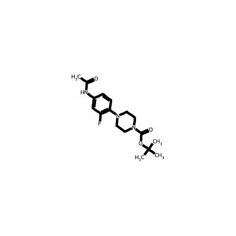 CC(=O)Nc1ccc(N2CCN(C(=O)OC(C)(C)C)CC2)c(F)c1